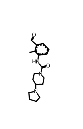 Cc1c(C=O)cccc1NC(=O)N1CCC(N2CCCC2)CC1